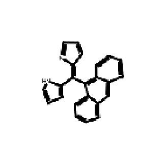 C1=C/C(=C(/c2ccc[nH]2)c2c3ccccc3cc3ccccc23)N=C1